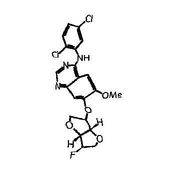 COc1cc2c(Nc3cc(Cl)ccc3Cl)ncnc2cc1OC1CO[C@H]2[C@H](F)CO[C@@H]12